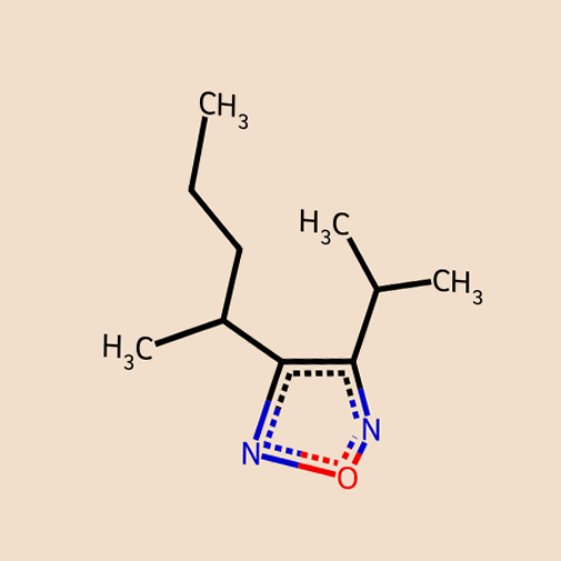 CCCC(C)c1nonc1C(C)C